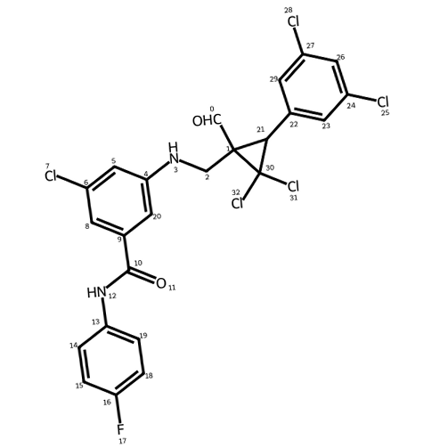 O=CC1(CNc2cc(Cl)cc(C(=O)Nc3ccc(F)cc3)c2)C(c2cc(Cl)cc(Cl)c2)C1(Cl)Cl